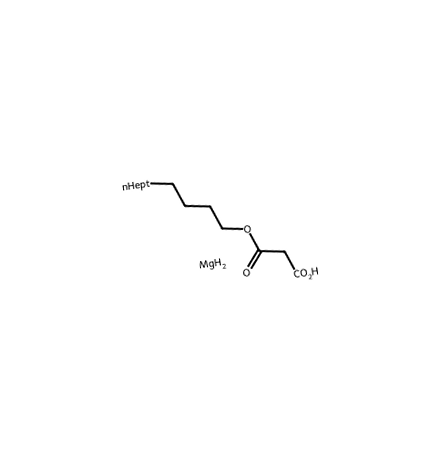 CCCCCCCCCCCOC(=O)CC(=O)O.[MgH2]